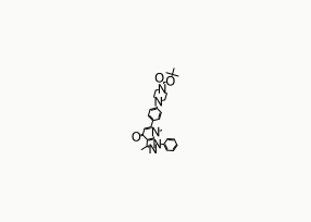 Cc1nn(-c2ccccc2)c2c1c(=O)cc(-c1ccc(N3CCN(C(=O)OC(C)(C)C)CC3)cc1)n2C